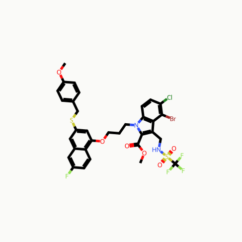 COC(=O)c1c(CNS(=O)(=O)C(F)(F)F)c2c(Br)c(Cl)ccc2n1CCCOc1cc(SCc2ccc(OC)cc2)cc2cc(F)ccc12